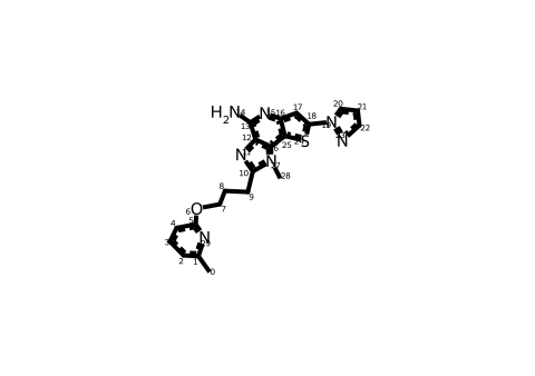 Cc1cccc(OCCCc2nc3c(N)nc4cc(-n5cccn5)sc4c3n2C)n1